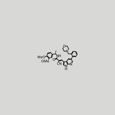 COc1ccc([C@@H](C)NC(=O)/C(C#N)=C/c2c[nH]c3ncc(-c4ccccc4CN4CCOCC4)cc23)cc1OC